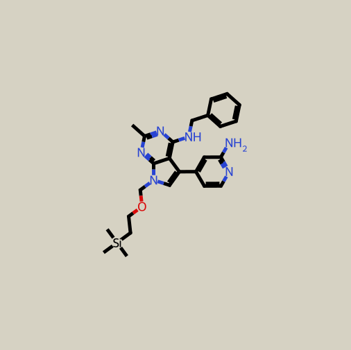 Cc1nc(NCc2ccccc2)c2c(-c3ccnc(N)c3)cn(COCC[Si](C)(C)C)c2n1